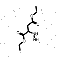 CCOC(=O)CC(NN)C(=O)OCC